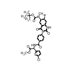 COC(=O)C(NC(=O)c1ccc(-n2c(=O)[nH]c3cc(F)c(N(C)C(=O)OC(C)(C)C)cc3c2=O)cc1)c1ccc(Cl)s1